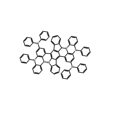 c1ccc(N(c2ccccc2)c2cc3c4c(c2)N(c2ccccc2)c2ccccc2B4C2c4ccccc4-c4c2c-3c2c3ccccc3n3c2c4-c2cc(N(c4ccccc4)c4ccccc4)cc4c2B3c2ccccc2N4c2ccccc2)cc1